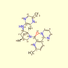 Cc1ccc(-c2ncccn2)c(C(=O)N2C[C@@H]3C[C@@H](Nc4cnc(C(F)(F)F)cn4)[C@@H]2C3)n1